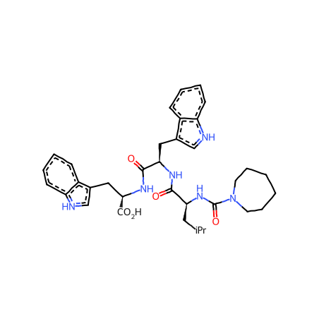 CC(C)C[C@H](NC(=O)N1CCCCCC1)C(=O)N[C@H](Cc1c[nH]c2ccccc12)C(=O)N[C@H](Cc1c[nH]c2ccccc12)C(=O)O